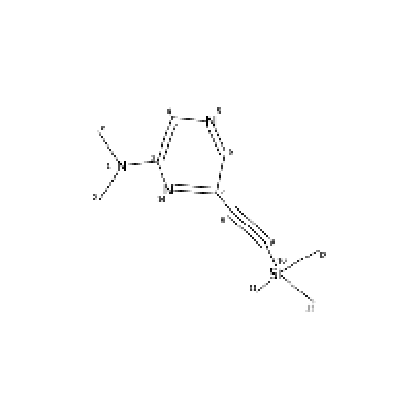 CN(C)c1cncc(C#C[Si](C)(C)C)n1